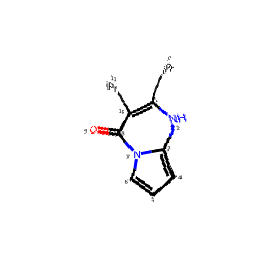 CC(C)c1[nH]c2cccn2c(=O)c1C(C)C